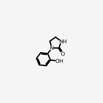 O=C1NCCN1c1ccccc1O